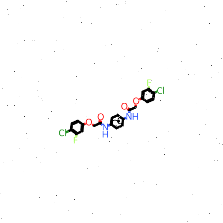 O=C(COc1ccc(Cl)c(F)c1)NC12[CH]CC(NC(=O)COc3ccc(Cl)c(F)c3)(CC1)CC2